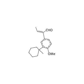 CC=C(C=O)c1ccc(OC)c(C2(C)CCCCC2)c1